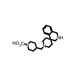 O=C(O)N1CCC(CN2CCC3(CC2)CNCc2ccccc23)CC1